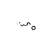 O=C(Cc1ccc(Sc2ccc(F)cc2F)o1)C(=O)c1nc[nH]n1